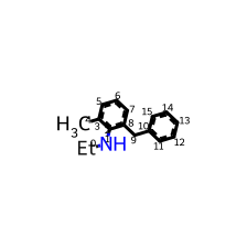 CCNc1c(C)cccc1Cc1ccccc1